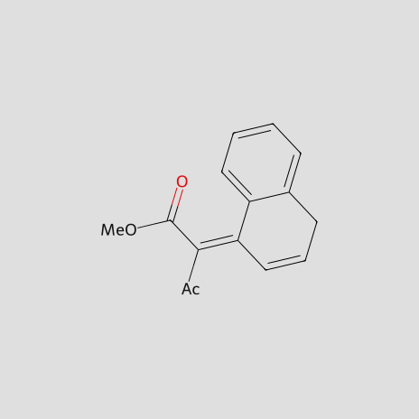 COC(=O)C(C(C)=O)=C1C=CCc2ccccc21